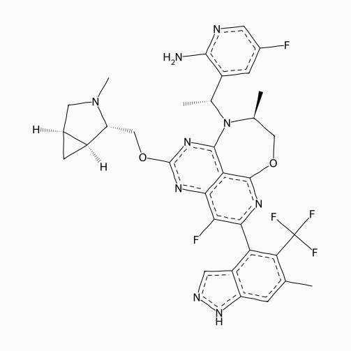 Cc1cc2[nH]ncc2c(-c2nc3c4c(nc(OC[C@@H]5[C@H]6C[C@H]6CN5C)nc4c2F)N([C@H](C)c2cc(F)cnc2N)[C@@H](C)CO3)c1C(F)(F)F